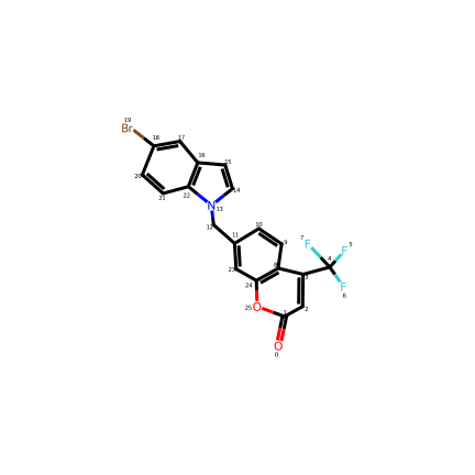 O=c1cc(C(F)(F)F)c2ccc(Cn3ccc4cc(Br)ccc43)cc2o1